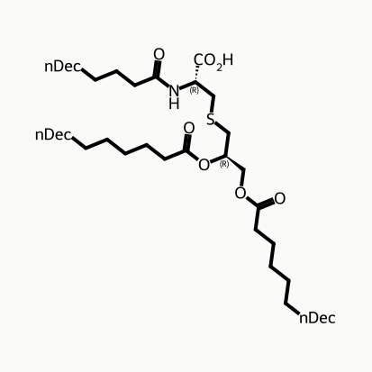 CCCCCCCCCCCCCCCC(=O)OC[C@H](CSC[C@H](NC(=O)CCCCCCCCCCCCC)C(=O)O)OC(=O)CCCCCCCCCCCCCCC